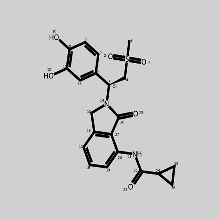 CS(=O)(=O)C[C@H](c1ccc(O)c(O)c1)N1Cc2cccc(NC(=O)C3CC3)c2C1=O